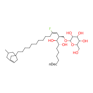 CCCCCCCCCCCCCC[C@@H](O)[C@@H](O)[C@@H](/C=C(/F)CCCCCCCCCCC12CC=C(CC(C)C1)C2)COC1OC(CO)C(O)C(O)C1O